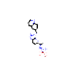 COC(=O)N/N=C(\C)c1ccc2nnn(Cc3ccc4ncccc4c3)c2n1